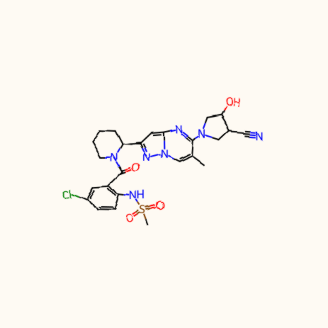 Cc1cn2nc([C@@H]3CCCCN3C(=O)c3cc(Cl)ccc3NS(C)(=O)=O)cc2nc1N1CC(O)C(C#N)C1